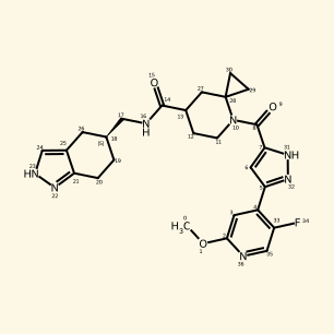 COc1cc(-c2cc(C(=O)N3CCC(C(=O)NC[C@H]4CCc5n[nH]cc5C4)CC34CC4)[nH]n2)c(F)cn1